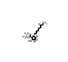 COC(=O)CCCC=CC[C@@H]1[C@H]2O[C@H]2[C@H](O)[C@H]1C(OC)OC